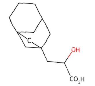 O=C(O)C(O)CC12CC3CCCC(C3)(C1)C2